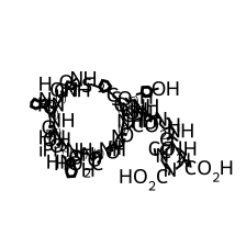 CC(C)C[C@@H]1NC(=O)[C@H](Cc2c[nH]c3ccccc23)NC(=O)[C@H](CC(=O)O)NC(=O)[C@H]2CCCN2C(=O)[C@H](CCC(=O)O)NC(=O)[C@@H](NC(=O)[C@H](Cc2ccc(O)cc2)NC(=O)[C@@H](NC(=O)CN2CCC(NC(=O)CN3CCN(CC(=O)O)CCN(CC(=O)O)CCN(CC(=O)O)CC3)CC2)C(C)C)CSCc2cccc(c2)CSC[C@@H](C(N)=O)NC(=O)[C@H](CO)NC(=O)[C@H](Cc2c[nH]c3ccccc23)NC(=O)[C@H]([C@@H](C)O)NC1=O